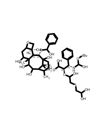 CC(=O)O[C@@]12COC1CC(O)C1(C)C(O)C(O)C3C(C)[C@@H](OC(O)[C@H](OC(O)CSCC(O)O)[C@@H](NC(O)OC(C)(C)C)c4ccccc4)CC(O)([C@@H](OC(O)c4ccccc4)[C@@H]12)C3(C)C